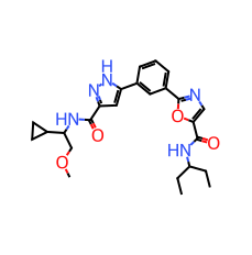 CCC(CC)NC(=O)c1cnc(-c2cccc(-c3cc(C(=O)NC(COC)C4CC4)n[nH]3)c2)o1